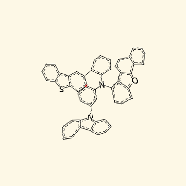 c1cc(N(c2ccccc2-c2ccc3sc4ccccc4c3c2)c2cccc3oc4c5ccccc5ccc4c23)cc(-n2c3ccccc3c3ccccc32)c1